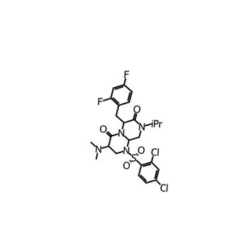 CC(C)N1CC2N(C(=O)C(N(C)C)CN2S(=O)(=O)c2ccc(Cl)cc2Cl)C(Cc2ccc(F)cc2F)C1=O